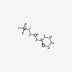 C[Si](C)(C)CCOC[C]1CCCCO1